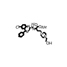 COC(=O)/C(CCN1CCN(CCO)CC1)=N\NC1=Nc2ccc(Cl)cc2C(c2ccccc2)=NC1